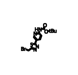 CC(C)(C)OC(=O)Nc1ccc(-c2nnc(CBr)s2)cn1